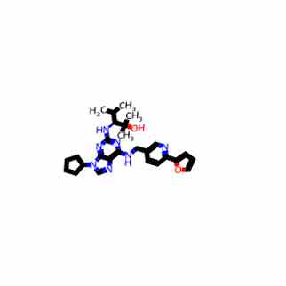 CC(C)[C@H](Nc1nc(NCc2ccc(-c3ccco3)nc2)c2ncn(C3CCCC3)c2n1)C(C)(C)O